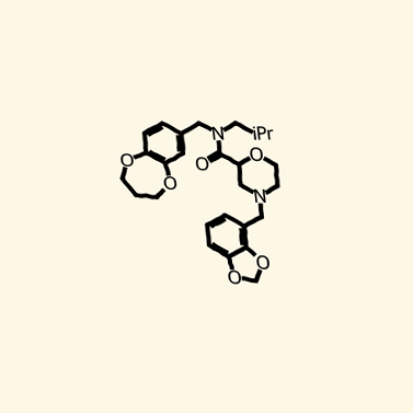 CC(C)CN(Cc1ccc2c(c1)OCCCO2)C(=O)C1CN(Cc2cccc3c2OCO3)CCO1